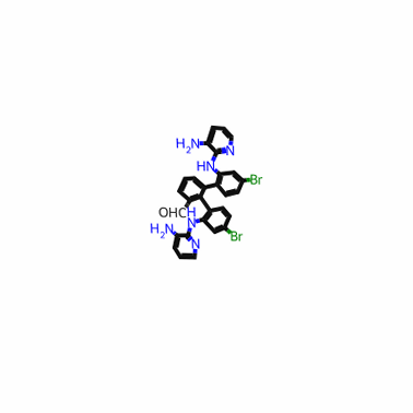 Nc1cccnc1Nc1cc(Br)ccc1-c1cccc(C=O)c1-c1ccc(Br)cc1Nc1ncccc1N